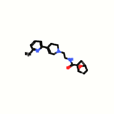 Cc1cccc(C2=CCN(CCNC(=O)C3CC4CCC3O4)CC2)n1